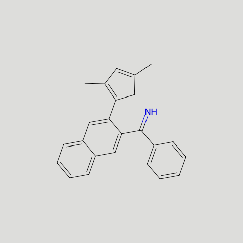 CC1=CC(C)=C(c2cc3ccccc3cc2C(=N)c2ccccc2)C1